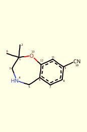 CC1(C)CNCc2ccc(C#N)cc2O1